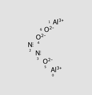 [Al+3].[Al+3].[N].[N].[O-2].[O-2].[O-2]